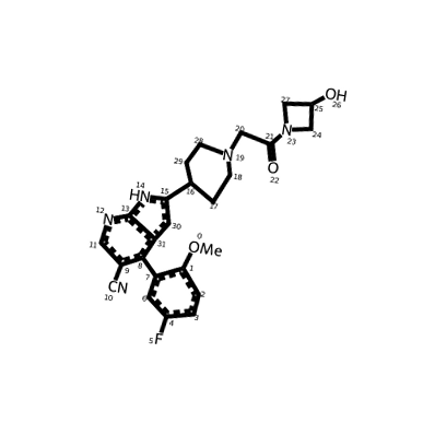 COc1ccc(F)cc1-c1c(C#N)cnc2[nH]c(C3CCN(CC(=O)N4CC(O)C4)CC3)cc12